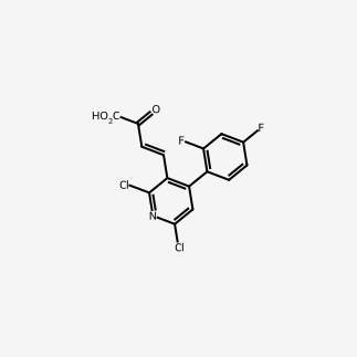 O=C(O)C(=O)/C=C/c1c(-c2ccc(F)cc2F)cc(Cl)nc1Cl